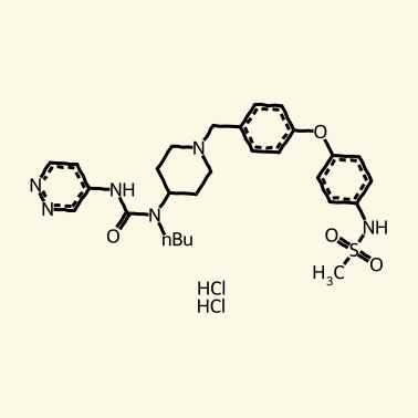 CCCCN(C(=O)Nc1ccnnc1)C1CCN(Cc2ccc(Oc3ccc(NS(C)(=O)=O)cc3)cc2)CC1.Cl.Cl